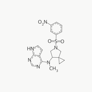 CN(c1ncnc2[nH]ccc12)C1CN(S(=O)(=O)c2cccc([N+](=O)[O-])c2)CC12CC2